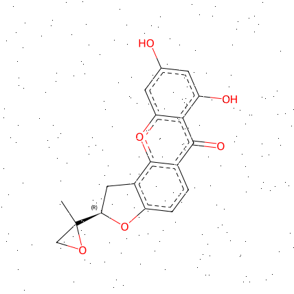 CC1([C@H]2Cc3c(ccc4c(=O)c5c(O)cc(O)cc5oc34)O2)CO1